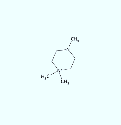 CN1CC[N+](C)(C)CC1